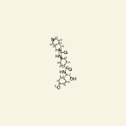 COc1ccc(C(CO)NC(=O)c2ccc(NC(=O)N3Cc4ccncc4C3)cc2)cc1